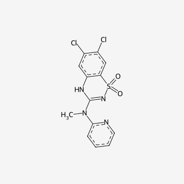 CN(C1=NS(=O)(=O)c2cc(Cl)c(Cl)cc2N1)c1ccccn1